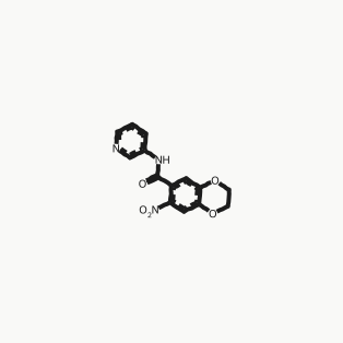 O=C(Nc1cccnc1)c1cc2c(cc1[N+](=O)[O-])OCCO2